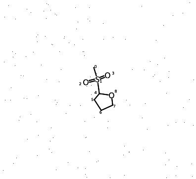 CS(=O)(=O)C1CCCO1